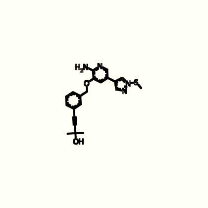 CSn1cc(-c2cnc(N)c(OCc3cccc(C#CC(C)(C)O)c3)c2)cn1